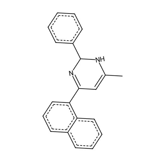 CC1=CC(c2cccc3ccccc23)=NC(c2ccccc2)N1